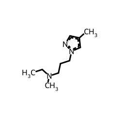 CCN(C)CCCn1cc(C)cn1